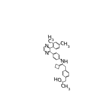 Cc1ccc(-c2nccnc2-c2ccc(NC(Cc3ccc(CC(C)O)cc3)=C3CCC3)cc2)c(C)c1